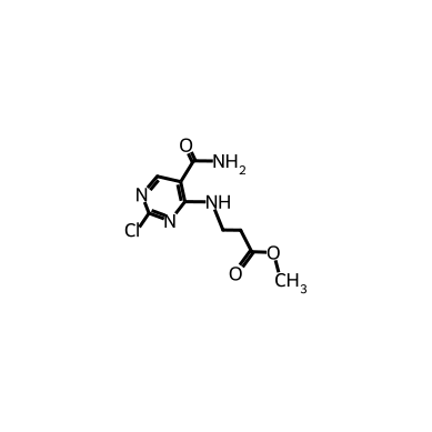 COC(=O)CCNc1nc(Cl)ncc1C(N)=O